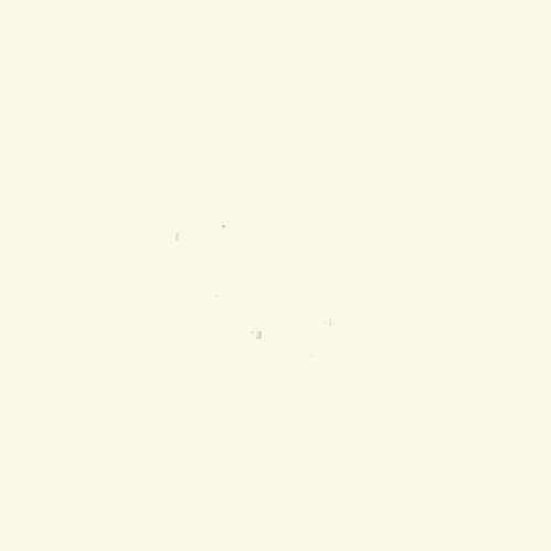 CB1NC(C(=O)N(C)C)C(C(=O)N(C)C)N1